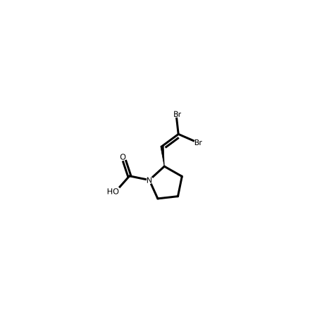 O=C(O)N1CCC[C@@H]1C=C(Br)Br